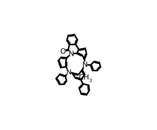 Cc1c2cc(-c3ccccc3)cc1n(-c1ccccc1)c1ccc3c4ccccc4c(=O)n(c4cccc(c4)n2-c2ccccc2)c3c1